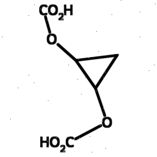 O=C(O)OC1CC1OC(=O)O